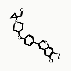 COc1cc2ncc(-c3ccc(OC4CCN(C5(C=O)CC5)CC4)cc3)cc2cc1Cl